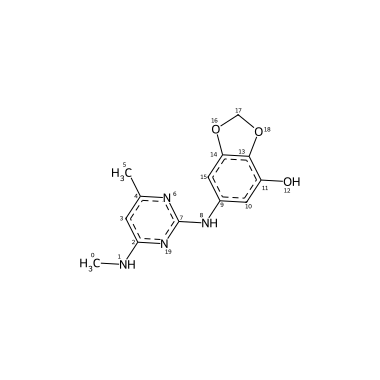 CNc1cc(C)nc(Nc2cc(O)c3c(c2)OCO3)n1